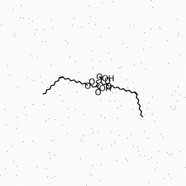 CCCCCCCC/C=C\CCCCCCCCOC(=O)CC(SC(CC(=O)OCCCCCCCC/C=C\CCCCCCCC)C(=O)O)C(=O)O